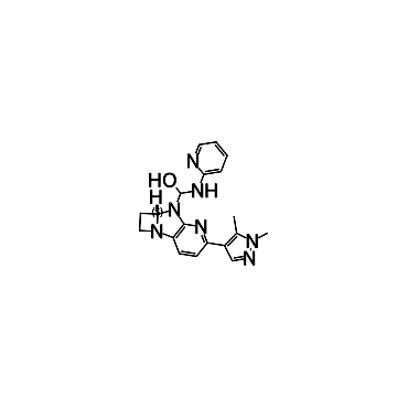 Cc1c(-c2ccc3c(n2)N(C(O)Nc2ccccn2)[C@H]2CCN32)cnn1C